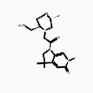 COC[C@H]1CN[C@H](C)CN1CC(=O)N1CC(C)(C)c2cc(=O)n(C)cc21